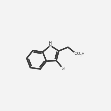 O=C(O)Cc1[nH]c2ccccc2c1S